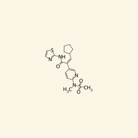 CN(c1ccc(C(=CC2CCCC2)C(=O)Nc2nccs2)cn1)S(C)(=O)=O